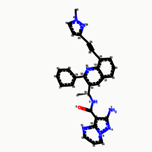 C[C@@H](NC(=O)c1c(N)nn2cccnc12)c1cc2cccc(C#Cc3ccn(C)n3)c2nc1-c1ccccc1